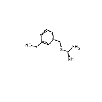 N#CCc1cccc(CSC(=N)N)c1